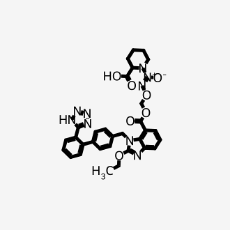 CCOc1nc2cccc(C(=O)OCO/N=[N+](\[O-])N3CCCCC3C(=O)O)c2n1Cc1ccc(-c2ccccc2-c2nnn[nH]2)cc1